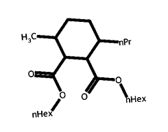 CCCCCCOC(=O)C1C(C)CCC(CCC)C1C(=O)OCCCCCC